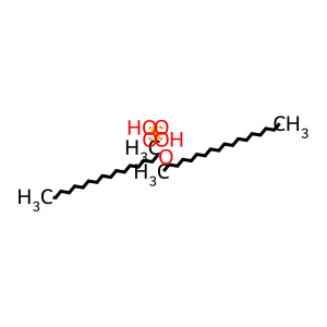 CCCCCCCCCCCCCCCCC(C)OC(C)CCCCCCCCCCCCCCCC.O=S(=O)(O)O